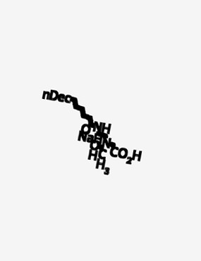 CCCCCCCCCCCCCCCC(=O)NCCN(CC(=O)O)C(C)O.[NaH]